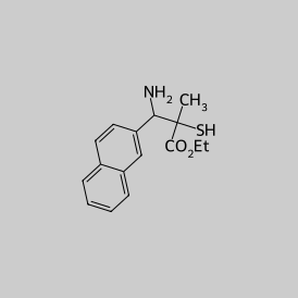 CCOC(=O)C(C)(S)C(N)c1ccc2ccccc2c1